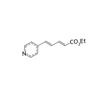 CCOC(=O)/C=C/C=C/c1ccncc1